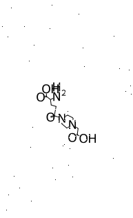 NC(CCC(=O)N1CCN(CC(=O)O)CC1)C(=O)O